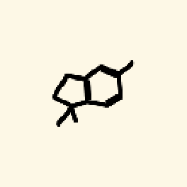 Cc1ccc2c(c1)CCC2(C)C